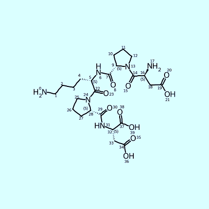 NCCCC[C@H](NC(=O)[C@@H]1CCCN1C(=O)[C@@H](N)CC(=O)O)C(=O)N1CCC[C@H]1C(=O)N[C@@H](CC(=O)O)C(=O)O